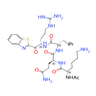 CC(=O)N[C@@H](CCCCN)C(=O)N[C@@H](CCC(N)=O)C(=O)N[C@@H](CC(C)C)C(=O)N[C@@H](CCCNC(=N)N)C(=O)c1nc2ccccc2s1